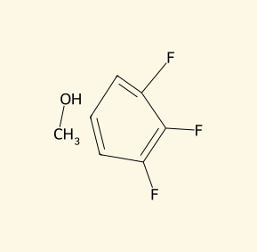 CO.Fc1cccc(F)c1F